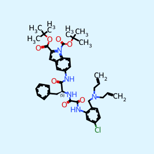 C=CCN(CC=C)Cc1ccc(Cl)cc1NC(=O)C(=O)N[C@@H](Cc1ccccc1)C(=O)Nc1ccc2c(c1)cc(C(=O)OC(C)(C)C)n2C(=O)OC(C)(C)C